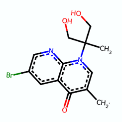 [CH2]c1cn(C(C)(CO)CO)c2ncc(Br)cc2c1=O